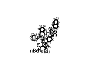 CCCCN(CCCC)C(=O)c1nn(-c2ccc(C(=O)NS(=O)(=O)c3ccc4ccccc4c3)cc2C(=O)N2Cc3ccccc3C[C@H]2CN2CCOCC2)c(C)c1Cl